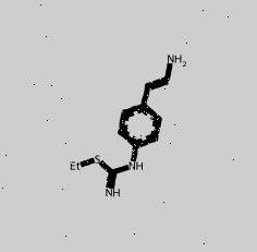 CCSC(=N)Nc1ccc(C=CN)cc1